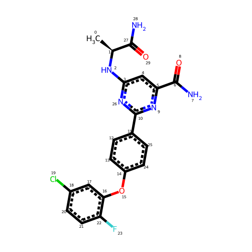 C[C@H](Nc1cc(C(N)=O)nc(-c2ccc(Oc3cc(Cl)ccc3F)cc2)n1)C(N)=O